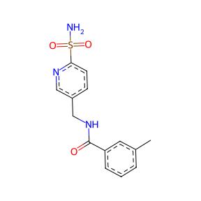 Cc1cccc(C(=O)NCc2ccc(S(N)(=O)=O)nc2)c1